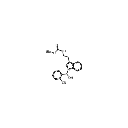 CC(C)(C)OC(=O)NCCc1cn(C(O)c2ccccc2C#N)c2ccccc12